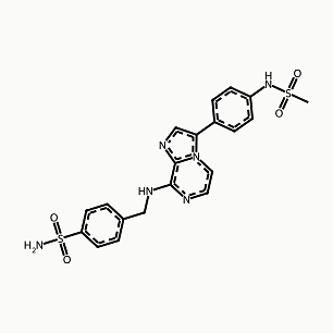 CS(=O)(=O)Nc1ccc(-c2cnc3c(NCc4ccc(S(N)(=O)=O)cc4)nccn23)cc1